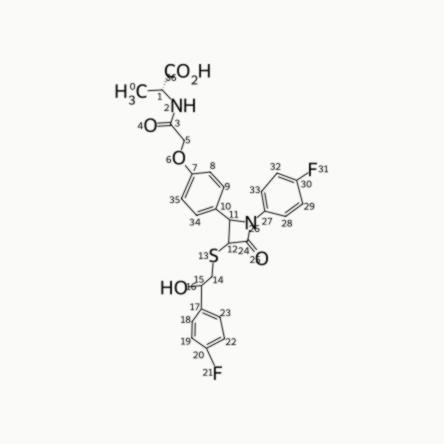 C[C@@H](NC(=O)COc1ccc(C2C(SCC(O)c3ccc(F)cc3)C(=O)N2c2ccc(F)cc2)cc1)C(=O)O